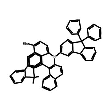 CC(C)(C)c1ccc(N(c2ccc3c(c2)-c2ccccc2C3(c2ccccc2)c2ccccc2)c2ccc3ccccc3c2-c2cccc3c2C(C)(C)c2ccccc2-3)c2ccccc12